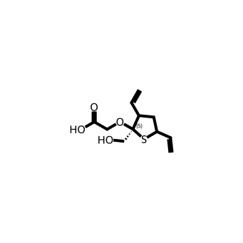 C=CC1CC(C=C)[C@](CO)(OCC(=O)O)S1